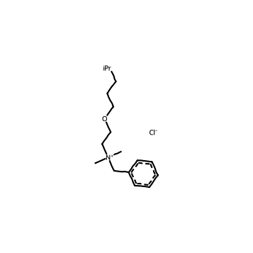 CC(C)CCCOCC[N+](C)(C)Cc1ccccc1.[Cl-]